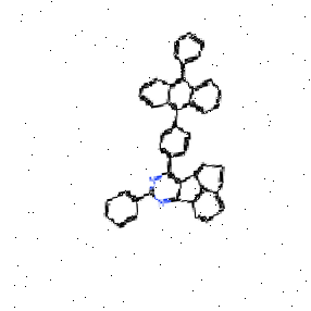 c1ccc(-c2nc(-c3ccc(-c4c5ccccc5c(-c5ccccc5)c5ccccc45)cc3)c3c(n2)-c2cccc4cccc-3c24)cc1